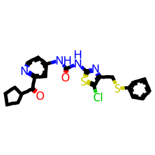 O=C(Nc1ccnc(C(=O)C2CCCC2)c1)Nc1nc(CSc2ccccc2)c(Cl)s1